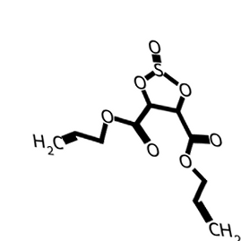 C=CCOC(=O)C1OS(=O)OC1C(=O)OCC=C